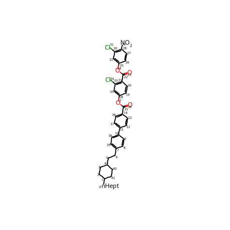 CCCCCCCC1CCC(CCc2ccc(-c3ccc(C(=O)Oc4ccc(C(=O)Oc5ccc([N+](=O)[O-])c(Cl)c5)c(Cl)c4)cc3)cc2)CC1